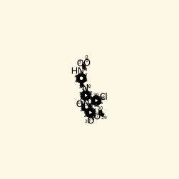 COC(=O)CNC1CCC(CN(C)c2ccc(N3C(=O)Cc4cc(OC)c(OC(C)C)cc4[C@@H]3c3ccc(Cl)cc3)cc2)CC1